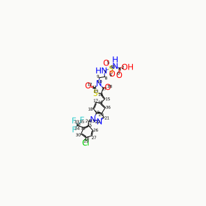 O=C(O)NS(=O)(=O)NCCN1C(=O)S/C(=C\c2ccc3c(cnn3Cc3ccc(Cl)cc3C(F)(F)F)c2)C1=O